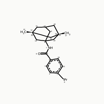 CC(C)c1ccc(C(=O)NC23CC4C[C@@](C)(C2)C[C@](C)(C4)C3)cc1